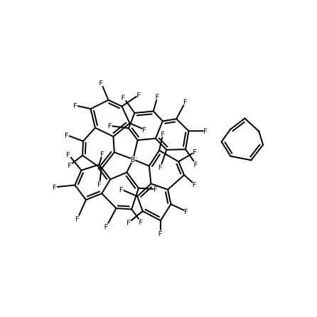 C1=CC=CCC=C1.Fc1c(F)c(F)c2c([B-](c3c(F)c(F)c(F)c4c(F)c(F)c(F)c(F)c34)(c3c(F)c(F)c(F)c4c(F)c(F)c(F)c(F)c34)c3c(F)c(F)c(F)c4c(F)c(F)c(F)c(F)c34)c(F)c(F)c(F)c2c1F